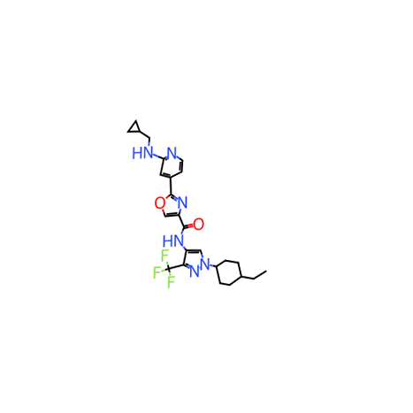 CCC1CCC(n2cc(NC(=O)c3coc(-c4ccnc(NCC5CC5)c4)n3)c(C(F)(F)F)n2)CC1